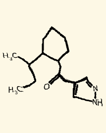 CCC(C)C1CCCCC1C(=O)c1cn[nH]c1